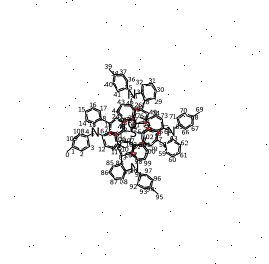 Cc1ccc(N(c2ccc(C)cc2)c2ccccc2-c2ccc3c(c2)-c2cc(-c4ccccc4N(c4ccc(C)cc4)c4ccc(C)cc4)ccc2S32(=O)c3ccc(-c4ccccc4N(c4ccc(C)cc4)c4ccc(C)cc4)cc3-c3cc(-c4ccccc4N(c4ccc(C)cc4)c4ccc(C)cc4)ccc32)cc1